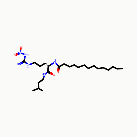 CCCCCCCCCCCCCC(=O)N[C@@H](CCCNC(=N)N[N+](=O)[O-])C(=O)N[CH]CC(C)C